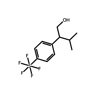 CC(C)C(CO)c1ccc(S(F)(F)(F)(F)F)cc1